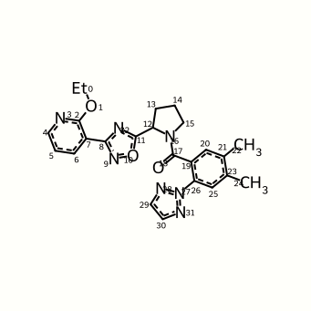 CCOc1ncccc1-c1noc(C2CCCN2C(=O)c2cc(C)c(C)cc2-n2nccn2)n1